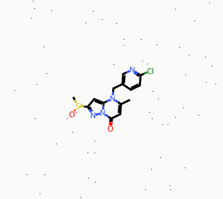 Cc1cc(=O)n2nc([S+](C)[O-])cc2n1Cc1ccc(Cl)nc1